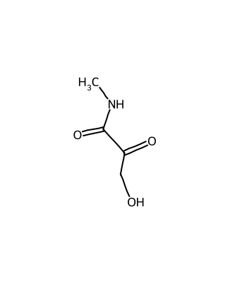 CNC(=O)C(=O)CO